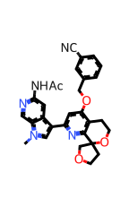 CC(=O)Nc1cc2c(-c3cc(OCc4cccc(C#N)c4)c4c(n3)C3(CCOC3)OCC4)cn(C)c2cn1